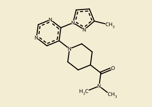 Cc1ccn(-c2ncncc2N2CCC(C(=O)N(C)C)CC2)n1